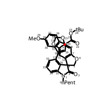 CCCCCN1C(=O)C2(COc3cc4c(cc32)OCO4)c2c(-c3cn(C(=O)OC(C)(C)C)c4ccc(OC)cc34)cccc21